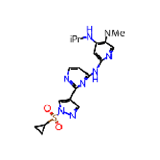 CNc1cnc(Nc2ccnc(-c3cnn(S(=O)(=O)C4CC4)c3)n2)cc1NC(C)C